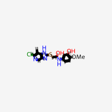 COc1ccc(NC(O)CSc2nc3cnc(Cl)c(C)c3[nH]2)cc1O